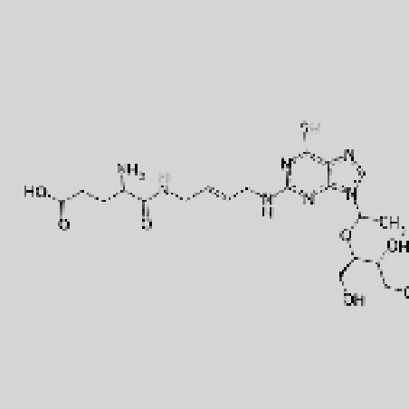 CC(O[C@H](CO)[C@H](O)CO)n1cnc2c(S)nc(NC/C=C/CNC(=O)C(N)CCC(=O)O)nc21